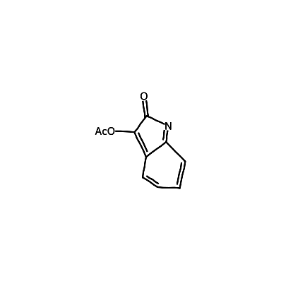 CC(=O)OC1=c2ccccc2=NC1=O